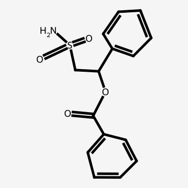 NS(=O)(=O)CC(OC(=O)c1ccccc1)c1ccccc1